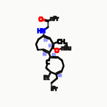 CCCCOC1=C(C)/C=C(/NCC(=O)CCC)CCC\C=C\1C1=C/CC/C=C(/CCC(C)C)C(CC)CC\1